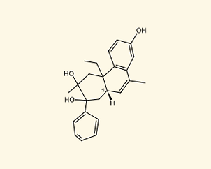 CCC12CC(C)(O)C(O)(c3ccccc3)C[C@H]1C=C(C)c1cc(O)ccc12